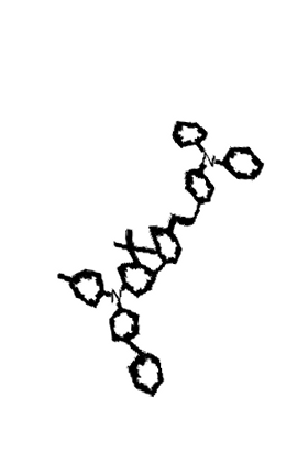 Cc1ccc(N(c2ccc(-c3ccccc3)cc2)c2ccc3c(c2)C(C)(C)c2cc(/C=C/c4ccc(N(c5ccccc5)c5ccccc5)cc4)ccc2-3)cc1